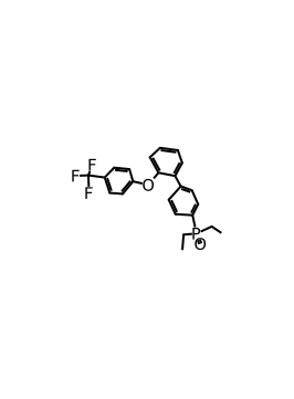 CCP(=O)(CC)c1ccc(-c2ccccc2Oc2ccc(C(F)(F)F)cc2)cc1